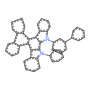 c1ccc(-c2cccc(-n3c4ccccc4c4c5c6ccccc6c6ccccc6c5c5c6ccccc6n(-c6ccccc6)c5c43)c2)cc1